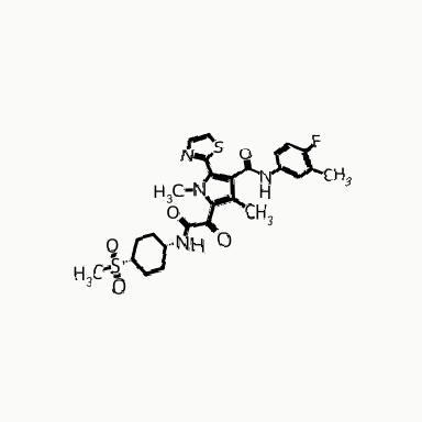 Cc1cc(NC(=O)c2c(C)c(C(=O)C(=O)N[C@H]3CC[C@@H](S(C)(=O)=O)CC3)n(C)c2-c2nccs2)ccc1F